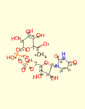 CC(=O)C1OC(OP(=O)(O)OP(=O)(O)OCC2OC(n3ccc(=O)[nH]c3=O)C(O)C2O)C(O)C(O)C1O